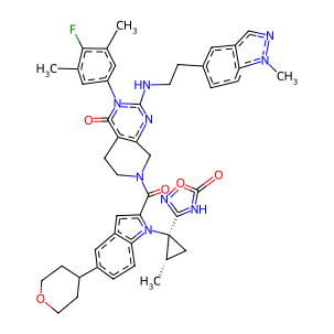 Cc1cc(-n2c(NCCc3ccc4c(cnn4C)c3)nc3c(c2=O)CCN(C(=O)c2cc4cc(C5CCOCC5)ccc4n2[C@@]2(c4noc(=O)[nH]4)C[C@@H]2C)C3)cc(C)c1F